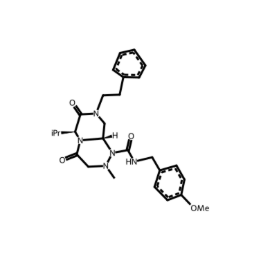 COc1ccc(CNC(=O)N2[C@H]3CN(CCc4ccccc4)C(=O)[C@H](C(C)C)N3C(=O)CN2C)cc1